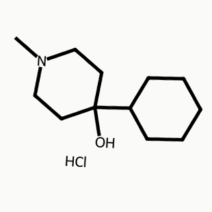 CN1CCC(O)(C2CCCCC2)CC1.Cl